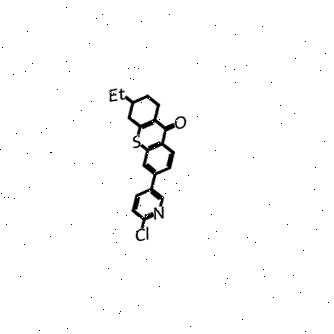 CCC1CCc2c(sc3cc(-c4ccc(Cl)nc4)ccc3c2=O)C1